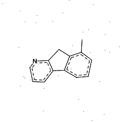 Cc1cccc2c1Cc1ncccc1-2